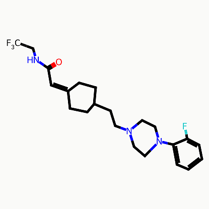 O=C(C=C1CCC(CCN2CCN(c3ccccc3F)CC2)CC1)NCC(F)(F)F